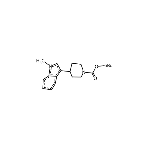 CCCCOC(=O)N1CCC(c2cn(C)c3ccccc23)CC1